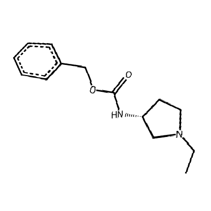 CCN1CC[C@@H](NC(=O)OCc2ccccc2)C1